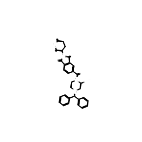 O=C1CCC(N2C(=O)c3ccc(C(=O)N4CCN(C(c5ccccc5)c5ccccc5)CC4C(F)(F)F)cc3C2=O)C(=O)N1